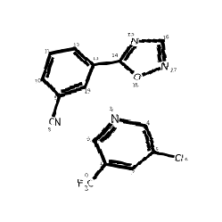 FC(F)(F)c1cncc(Cl)c1.N#Cc1cccc(-c2ncno2)c1